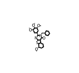 COc1cc(-c2nc3sc4c(OC)cccc4c3c(=O)n2Cc2ccccc2)cc(OC)c1OC